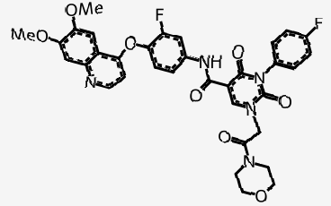 COc1cc2nccc(Oc3ccc(NC(=O)c4cn(CC(=O)N5CCOCC5)c(=O)n(-c5ccc(F)cc5)c4=O)cc3F)c2cc1OC